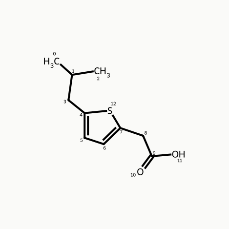 CC(C)Cc1ccc(CC(=O)O)s1